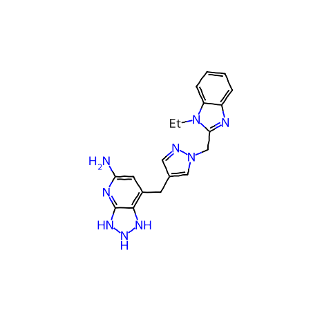 CCn1c(Cn2cc(Cc3cc(N)nc4c3NNN4)cn2)nc2ccccc21